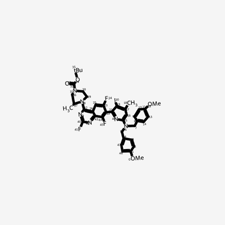 COc1ccc(CN(Cc2ccc(OC)cc2)c2cc(C)c(I)c(-c3c(F)cc4c(N5CCN(C(=O)OC(C)(C)C)C[C@@H]5C)nc(F)nc4c3F)n2)cc1